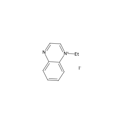 CC[n+]1ccnc2ccccc21.[I-]